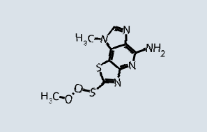 COOSc1nc2nc(N)c3ncn(C)c3c2s1